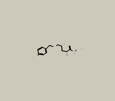 COc1ccc(COC[C@@H](C)[C@@H](O)[C@H](C)C(=O)N(C)OC)cc1